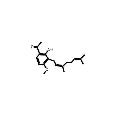 COc1ccc(C(C)=O)c(O)c1CC=C(C)CCC=C(C)C